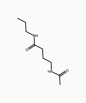 CCCNC(=O)CCCNC(C)=O